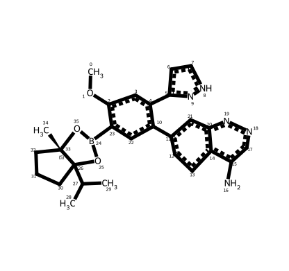 COc1cc(-c2cc[nH]n2)c(-c2ccc3c(N)cnnc3c2)cc1B1OC2(C(C)C)CCC[C@]2(C)O1